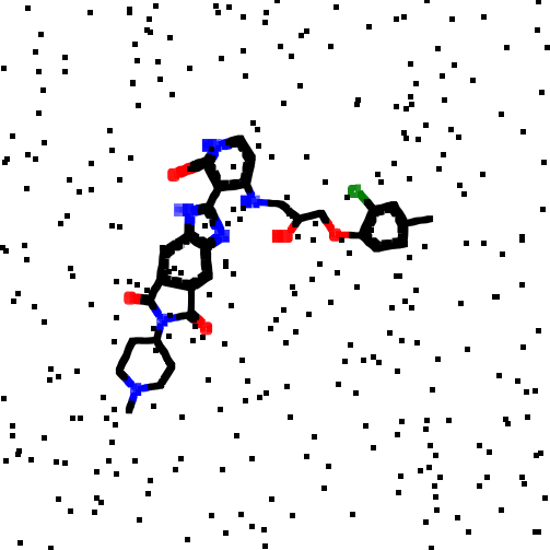 Cc1ccc(OCC(O)CNc2cc[nH]c(=O)c2-c2nc3cc4c(cc3[nH]2)C(=O)N(C2CCN(C)CC2)C4=O)c(Cl)c1